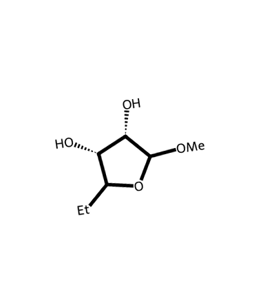 CCC1OC(OC)[C@@H](O)[C@H]1O